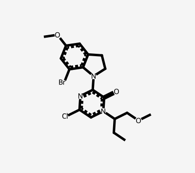 CCC(COC)n1cc(Cl)nc(N2CCc3cc(OC)cc(Br)c32)c1=O